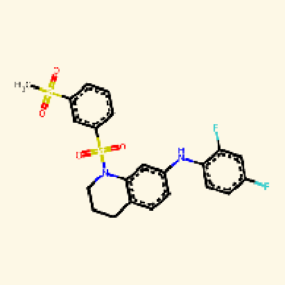 CS(=O)(=O)c1cccc(S(=O)(=O)N2CCCc3ccc(Nc4ccc(F)cc4F)cc32)c1